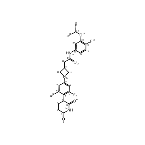 O=C1CCC(c2c(F)cc(N3CC(CC(=O)Nc4ccc(F)c(OC(F)F)c4)C3)cc2F)C(=O)N1